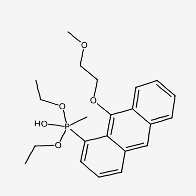 CCOP(C)(O)(OCC)c1cccc2cc3ccccc3c(OCCOC)c12